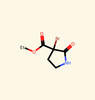 CCOC(=O)C1(Br)CCNC1=O